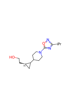 CC(C)c1noc(N2CCC(C3C[C@H]3CCO)CC2)n1